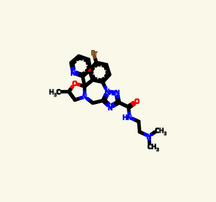 CC1CN2Cc3nc(C(=O)NCCN(C)C)nn3-c3ccc(Br)cc3C2(c2ccccn2)O1